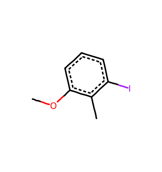 COc1cccc(I)c1C